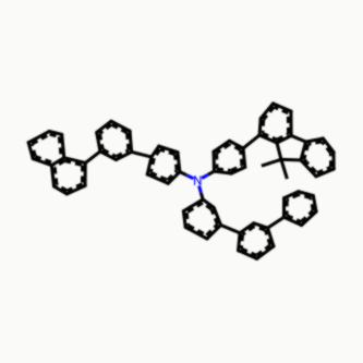 CC1(C)c2ccccc2-c2cccc(-c3ccc(N(c4ccc(-c5cccc(-c6cccc7ccccc67)c5)cc4)c4cccc(-c5cccc(-c6ccccc6)c5)c4)cc3)c21